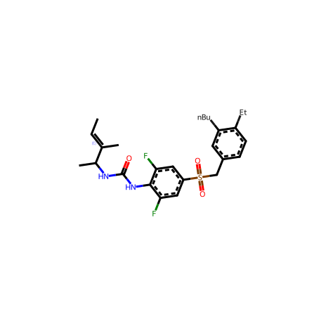 C/C=C(\C)C(C)NC(=O)Nc1c(F)cc(S(=O)(=O)Cc2ccc(CC)c(CCCC)c2)cc1F